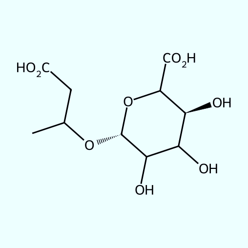 CC(CC(=O)O)O[C@@H]1OC(C(=O)O)[C@@H](O)C(O)C1O